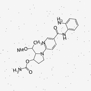 COC(C)C1C(OC(N)=O)CCN1c1ccc(C(=O)Nc2ccccc2N)cn1